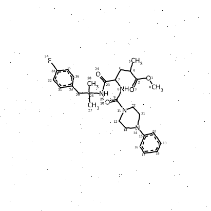 COC(=O)C(C)CC(NC(=O)N1CCN(c2ccccc2)CC1)C(=O)NC(C)(C)Cc1ccc(F)cc1